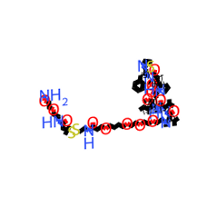 CC[C@H](C)[C@@H]([C@@H](CC(=O)N1CCC[C@H]1[C@H](OC)[C@@H](C)C(=O)N[C@@H](Cc1ccccc1)c1nccs1)OC)N(C)C(=O)[C@@H](NC(=O)[C@H](C(C)C)N(C)CCOCCOCCOCCCCOCCC(=O)NCCSSC(C)(C)CC(=O)NCCOCCON)C(C)C